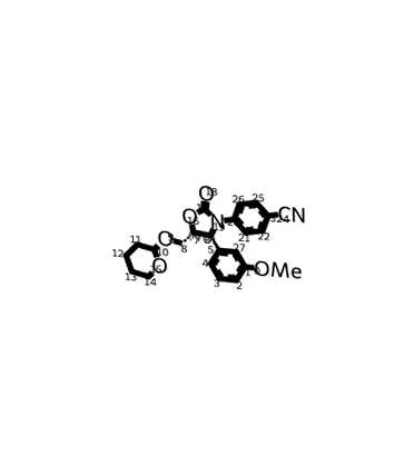 COc1cccc([C@H]2[C@H](COC3CCCCO3)OC(=O)N2c2ccc(C#N)cc2)c1